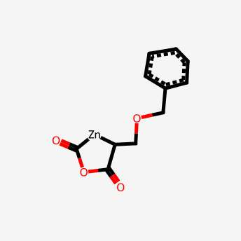 O=[C]1OC(=O)[CH](COCc2ccccc2)[Zn]1